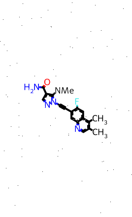 CNc1c(C(N)=O)cnn1C#Cc1cc2ncc(C)c(C)c2cc1F